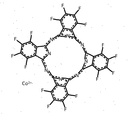 Fc1c(F)c(F)c2c(c1F)-c1nc-2nc2[n-]c(nc3nc(nc4[n-]c(n1)c1c(F)c(F)c(F)c(F)c41)-c1c(F)c(F)c(F)c(F)c1-3)c1c(F)c(F)c(F)c(F)c21.[Co+2]